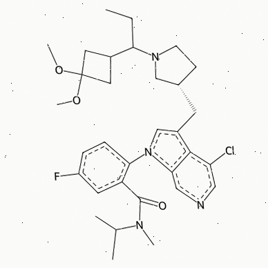 CCC(C1CC(OC)(OC)C1)N1CC[C@H](Cc2cn(-c3ccc(F)cc3C(=O)N(C)C(C)C)c3cncc(Cl)c23)C1